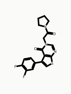 O=C(Cn1cnc2scc(-c3ccc(F)c(F)c3)c2c1=O)N1CCCC1